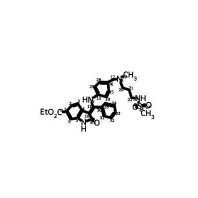 CCOC(=O)c1ccc2c(c1)NC(=O)/C2=C(/Nc1ccc(CN(C)CCCNS(C)(=O)=O)cc1)c1ccccc1